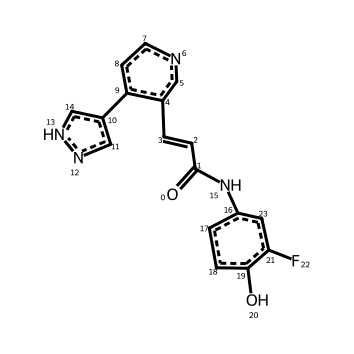 O=C(/C=C/c1cnccc1-c1cn[nH]c1)Nc1ccc(O)c(F)c1